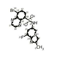 Cc1cn2cc(NS(=O)(=O)c3ccc(Br)c4nccnc34)cc(F)c2n1